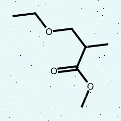 CCOCC(C)C(=O)OC